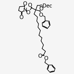 CCCCCCCCCCCC(CCCCCCCCCCCCC(=O)OCc1ccccc1)(C(=O)OCc1ccccc1)C(=O)ON1C(=O)CCC1=O